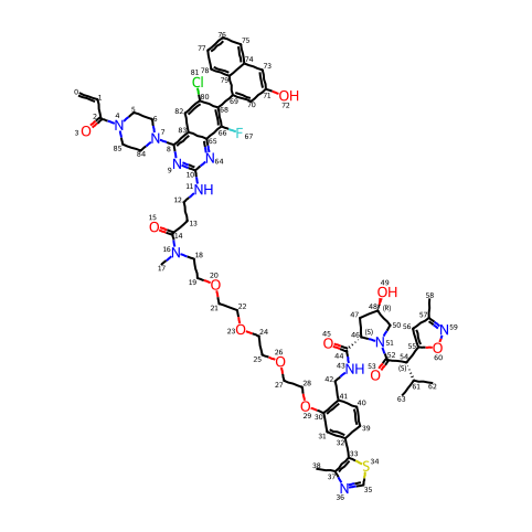 C=CC(=O)N1CCN(c2nc(NCCC(=O)N(C)CCOCCOCCOCCOc3cc(-c4scnc4C)ccc3CNC(=O)[C@@H]3C[C@@H](O)CN3C(=O)[C@H](c3cc(C)no3)C(C)C)nc3c(F)c(-c4cc(O)cc5ccccc45)c(Cl)cc23)CC1